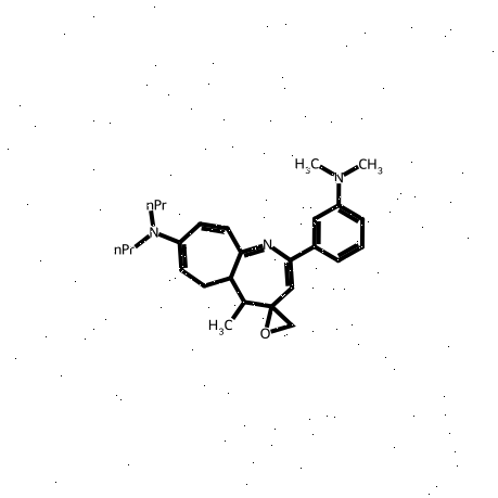 CCCN(CCC)C1=CCC2C(=NC(c3cccc(N(C)C)c3)=CC3(CO3)C2C)C=C1